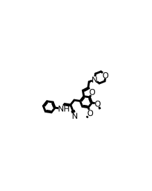 COc1cc(C/C(C#N)=C/Nc2ccccc2)c2cc(CN3CCOCC3)oc2c1OC